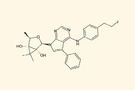 C[C@H]1O[C@@H](n2cc(-c3ccccc3)c3c(Nc4ccc(CCI)cc4)ncnc32)[C@@]2(O)C(C)(C)[C@@]12O